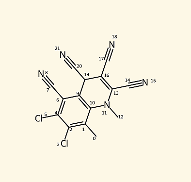 Cc1c(Cl)c(Cl)c(C#N)c2c1N(C)C(C#N)=C(C#N)C2C#N